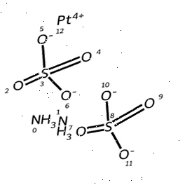 N.N.O=S(=O)([O-])[O-].O=S(=O)([O-])[O-].[Pt+4]